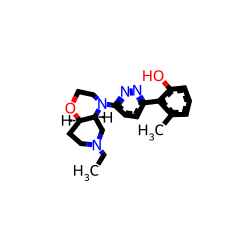 CCN1CC[C@H]2OCCN(c3ccc(-c4c(C)cccc4O)nn3)[C@H]2C1